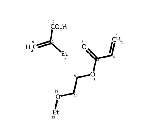 C=C(CC)C(=O)O.C=CC(=O)OCCOCC